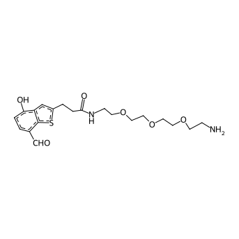 NCCOCCOCCOCCNC(=O)CCc1cc2c(O)ccc(C=O)c2s1